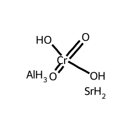 [AlH3].[O]=[Cr](=[O])([OH])[OH].[SrH2]